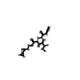 CO[C@H](C)C(=O)N[C@@H](CCC(=O)C=[N+]=[N-])C(=O)OCCNC1CC1